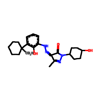 CC1=NN(C2CCC(O)CC2)C(=O)C1=NNc1cccc(C2(C(=O)O)CCCCC2)c1O